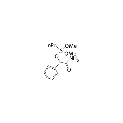 CCC[Si](OC)(OC)OC(C(N)=O)c1ccccc1